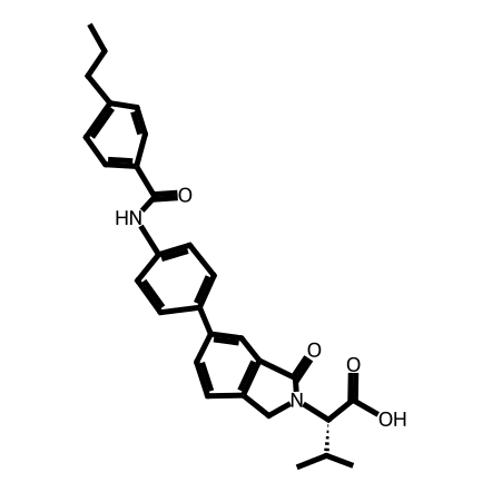 CCCc1ccc(C(=O)Nc2ccc(-c3ccc4c(c3)C(=O)N([C@H](C(=O)O)C(C)C)C4)cc2)cc1